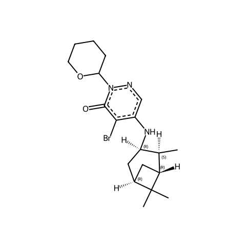 C[C@H]1[C@H]2C[C@H](C[C@H]1Nc1cnn(C3CCCCO3)c(=O)c1Br)C2(C)C